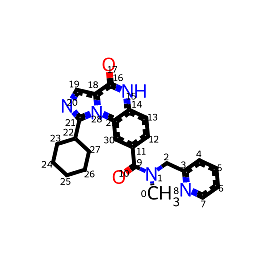 CN(Cc1ccccn1)C(=O)c1ccc2[nH]c(=O)c3cnc(C4CCCCC4)n3c2c1